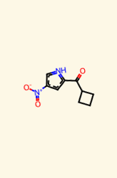 O=C(c1cc([N+](=O)[O-])c[nH]1)C1CCC1